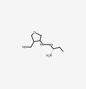 CC[C@H](N)NNC1COCC1CO